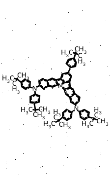 CC(C)(C)c1ccc(-c2cc3c4cc5ccc(N(c6ccc(C(C)(C)C)cc6)c6ccc(C(C)(C)C)cc6)cc5cc4n4c5cc6cc(N(c7ccc(C(C)(C)C)cc7)c7ccc(C(C)(C)C)cc7)ccc6cc5c(c2)c34)cc1